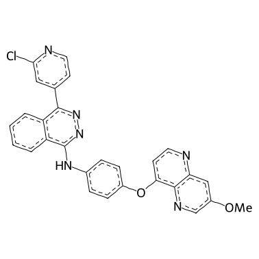 COc1cnc2c(Oc3ccc(Nc4nnc(-c5ccnc(Cl)c5)c5ccccc45)cc3)ccnc2c1